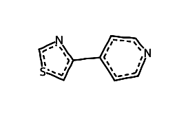 c1cc(-c2cscn2)ccn1